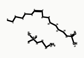 CCCCCC/C=C\CCCCCCCC(=O)O.C[N+](C)([O-])CCCN